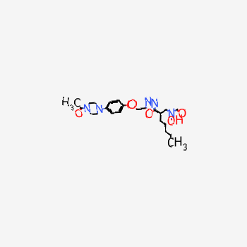 CCCCCC(CN(O)C=O)c1nnc(COc2ccc(N3CCN(C(C)=O)CC3)cc2)o1